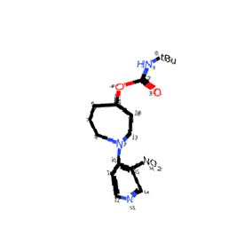 CC(C)(C)NC(=O)OC1CCCN(c2ccncc2[N+](=O)[O-])CC1